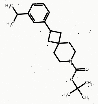 CC(C)c1cccc(C2CC3(CCN(C(=O)OC(C)(C)C)CC3)C2)c1